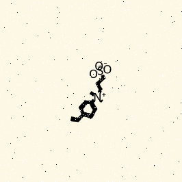 C=Cc1ccc([N+](C)(C)CCCS(=O)(=O)[O-])cc1